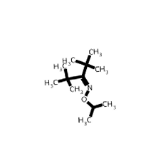 CC(C)ON=C(C(C)(C)C)C(C)(C)C